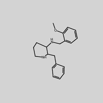 COc1ccccc1CNC1CCCNC1Cc1ccccc1